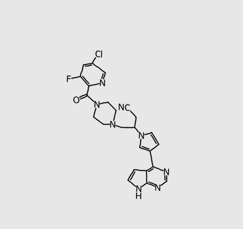 N#CCC(CN1CCN(C(=O)c2ncc(Cl)cc2F)CC1)n1ccc(-c2ncnc3[nH]ccc23)c1